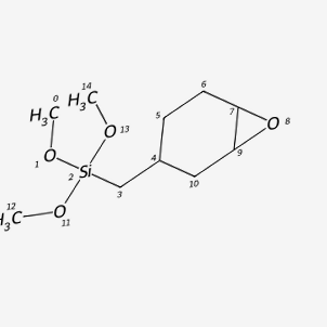 CO[Si](CC1CCC2OC2C1)(OC)OC